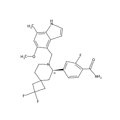 COc1cc(C)c2[nH]ccc2c1CN1CCC2(C[C@@H]1c1ccc(C(N)=O)c(F)c1)CC(F)(F)C2